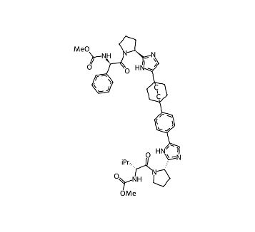 COC(=O)N[C@@H](C(=O)N1CCC[C@H]1c1ncc(C23CCC(c4ccc(-c5cnc([C@@H]6CCCN6C(=O)[C@H](NC(=O)OC)C(C)C)[nH]5)cc4)(CC2)CC3)[nH]1)c1ccccc1